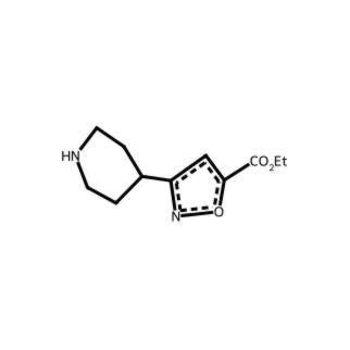 CCOC(=O)c1cc(C2CCNCC2)no1